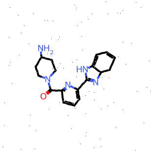 NC1CCN(C(=O)c2cccc(C3=NC4CC=CC=C4N3)n2)CC1